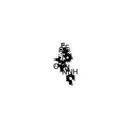 C=C/C=C\C(=C/C)Nc1ncc2c(=O)n(C(C)C)n(-c3cccc(C(C)(C)C(F)(F)F)n3)c2n1